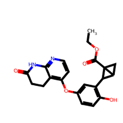 CCOC(=O)C12CC1C2c1cc(Oc2ccnc3c2CCC(=O)N3)ccc1O